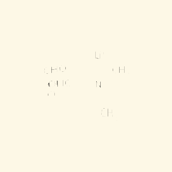 CN(C)C=O.O=C[O-].[Li+]